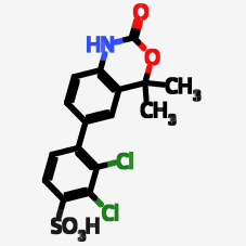 CC1(C)OC(=O)Nc2ccc(-c3ccc(S(=O)(=O)O)c(Cl)c3Cl)cc21